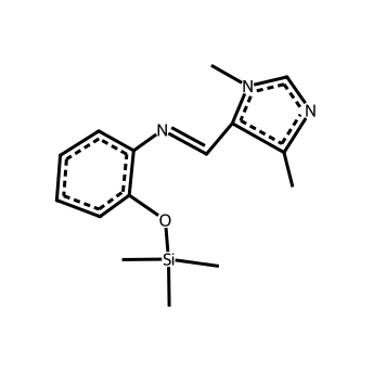 Cc1ncn(C)c1/C=N/c1ccccc1O[Si](C)(C)C